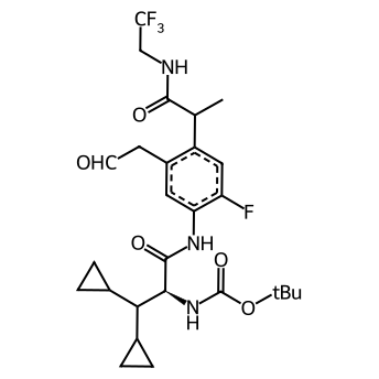 CC(C(=O)NCC(F)(F)F)c1cc(F)c(NC(=O)[C@@H](NC(=O)OC(C)(C)C)C(C2CC2)C2CC2)cc1CC=O